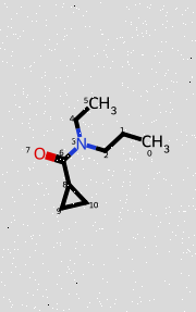 CCCN(CC)C(=O)C1CC1